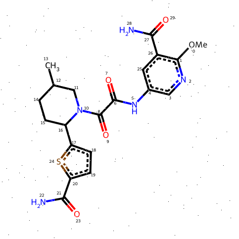 COc1ncc(NC(=O)C(=O)N2CC(C)CCC2c2ccc(C(N)=O)s2)cc1C(N)=O